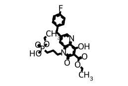 CCOC(=O)c1c(O)c2ncc(Cc3ccc(F)cc3)cc2n(CCCP(=O)(O)OCC)c1=O